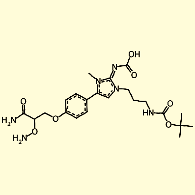 Cn1c(-c2ccc(OCC(ON)C(N)=O)cc2)cn(CCCNC(=O)OC(C)(C)C)c1=NC(=O)O